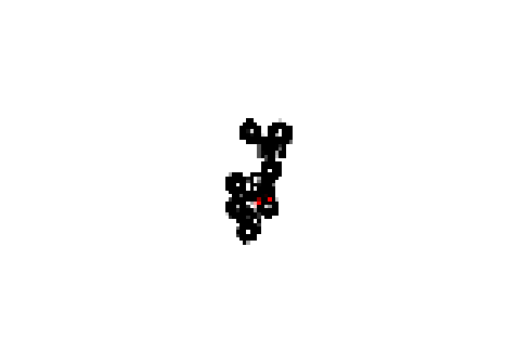 c1ccc(-c2nc(-c3ccc4c(c3)oc3c(-n5c6ccccc6c6ccc7c8ccccc8n(-c8ccccc8)c7c65)cccc34)nc3ccccc23)cc1